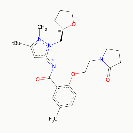 Cn1c(C(C)(C)C)c/c(=N\C(=O)c2cc(C(F)(F)F)ccc2OCCN2CCCC2=O)n1C[C@H]1CCCO1